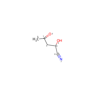 CC(=O)CC(O)C#N